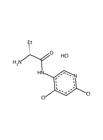 CC[C@@H](N)C(=O)Nc1cnc(Cl)cc1Cl.Cl